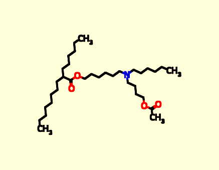 CCCCCCCCC(CCCCCC)C(=O)OCCCCCCN(CCCCCC)CCCCOC(C)=O